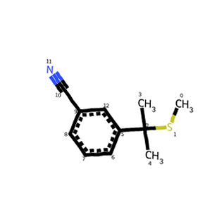 CSC(C)(C)c1cccc(C#N)c1